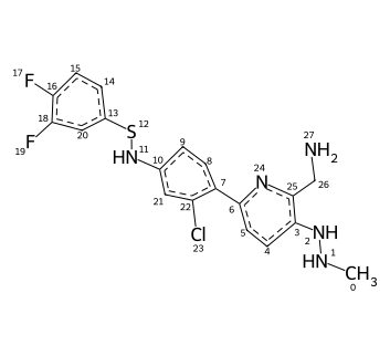 CNNc1ccc(-c2ccc(NSc3ccc(F)c(F)c3)cc2Cl)nc1CN